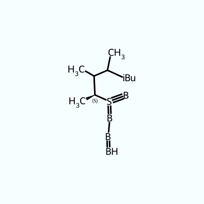 B#S(=BB=B)[C@@H](C)C(C)C(C)C(C)CC